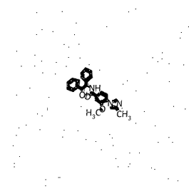 COc1cc(C(=O)N[C@H](c2ccccc2)[C@H](O)c2ccccc2)ccc1-n1cnc(C)c1